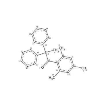 Cc1cc(C)c(C(=O)S(C)(c2ccccc2)c2ccccc2)c(C)c1